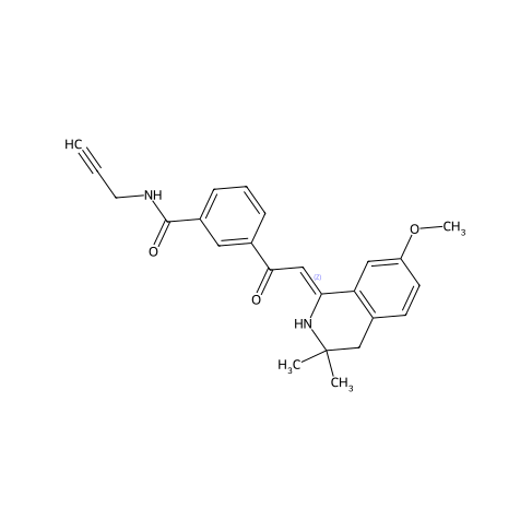 C#CCNC(=O)c1cccc(C(=O)/C=C2\NC(C)(C)Cc3ccc(OC)cc32)c1